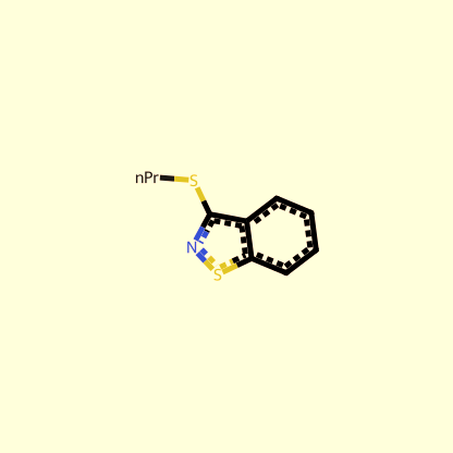 CCCSc1nsc2ccccc12